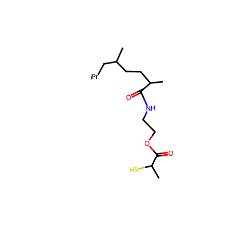 CC(C)CC(C)CCC(C)C(=O)NCCOC(=O)C(C)S